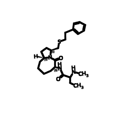 CCC(NC)C(=O)N[C@H]1CCCC[C@H]2CC[C@@H](CSCCc3ccccc3)N2C1=O